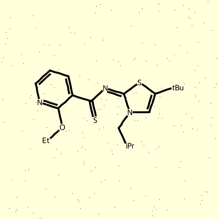 CCOc1ncccc1C(=S)N=c1sc(C(C)(C)C)cn1CC(C)C